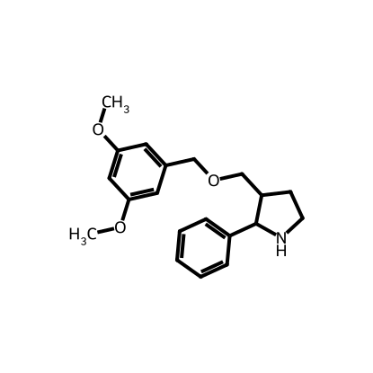 COc1cc(COCC2CCNC2c2ccccc2)cc(OC)c1